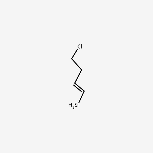 [SiH3]C=CCCCl